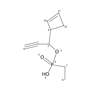 C#CC(OP(=O)(O)CC)C1C=CC1